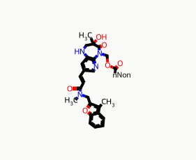 CCCCCCCCCC(=O)OCN1C(=O)C(C)(O)CNc2cc(/C=C/C(=O)N(C)Cc3oc4ccccc4c3C)cnc21